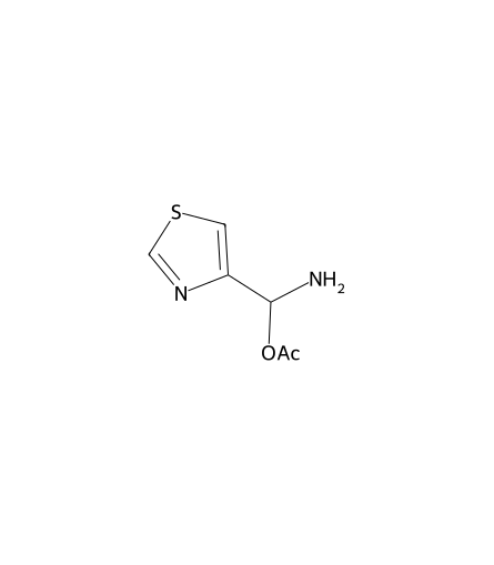 CC(=O)OC(N)c1cscn1